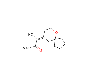 COC(=O)C(C#N)=C1CCOC2(CCCC2)C1